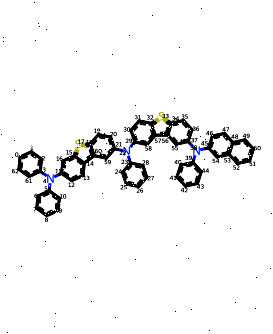 c1ccc(N(c2ccccc2)c2ccc3c(c2)sc2ccc(N(c4ccccc4)c4ccc5sc6ccc(N(c7ccccc7)c7ccc8ccccc8c7)cc6c5c4)cc23)cc1